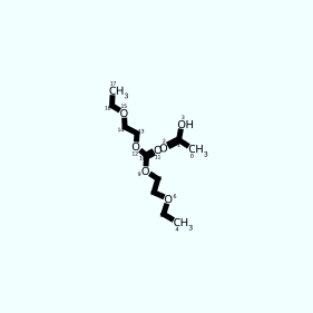 CC(=O)O.CCOCCOC(=O)OCCOCC